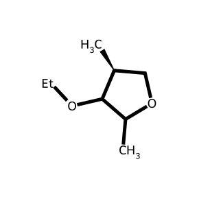 CCOC1C(C)OC[C@@H]1C